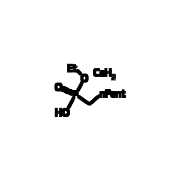 CCCCCCP(=O)(O)OCC.[CaH2]